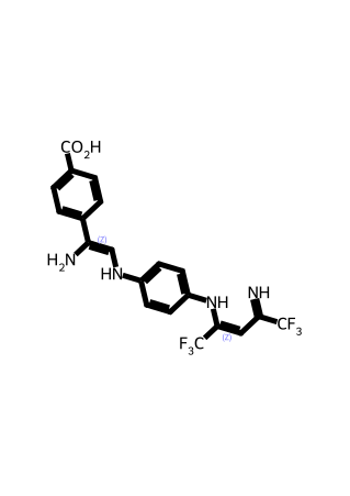 N=C(/C=C(\Nc1ccc(N/C=C(\N)c2ccc(C(=O)O)cc2)cc1)C(F)(F)F)C(F)(F)F